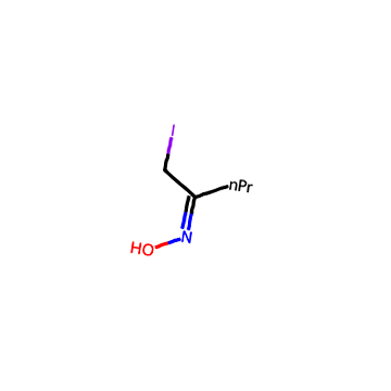 CCC/C(CI)=N/O